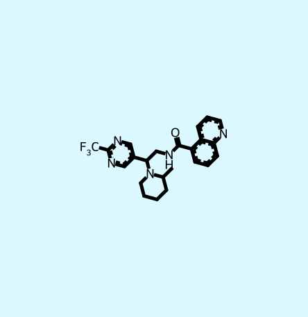 CC1CCCCN1C(CNC(=O)c1cccc2ncccc12)c1cnc(C(F)(F)F)nc1